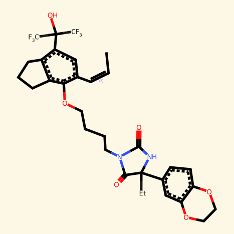 C/C=C\c1cc(C(O)(C(F)(F)F)C(F)(F)F)c2c(c1OCCCCN1C(=O)NC(CC)(c3ccc4c(c3)OCCO4)C1=O)CCC2